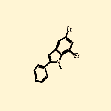 CCc1cc(CC)c2c(c1)cc(-c1ccccc1)n2C